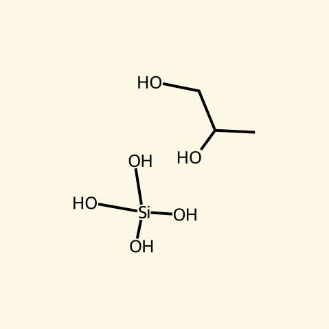 CC(O)CO.O[Si](O)(O)O